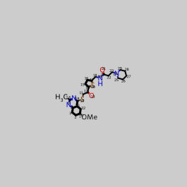 COc1ccc2nc(C)nc(SCC(=O)c3ccc(CNC(=O)CCN4CCCCC4)s3)c2c1